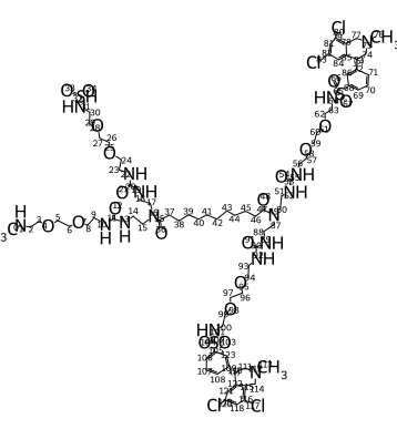 CNCCOCCOCCNC(=O)NCCN(CCNC(=O)NCCOCCOCCN[SH](=O)=O)C(=O)CCCCCCCCCCC(=O)N(CCNC(=O)NCCOCCOCCNS(=O)(=O)c1cccc([C@@H]2CN(C)Cc3c(Cl)cc(Cl)cc32)c1)CCNC(=O)NCCOCCOCCNS(=O)(=O)c1cccc([C@@H]2CN(C)Cc3c(Cl)cc(Cl)cc32)c1